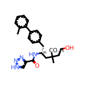 Cc1ccccc1-c1ccc(C[C@H](CC(C)(CCO)C(=O)O)NC(=O)c2c[nH]nn2)cc1